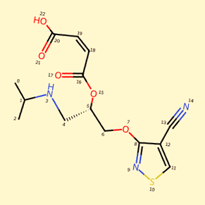 CC(C)NC[C@@H](COc1nscc1C#N)OC(=O)/C=C\C(=O)O